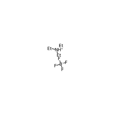 CC[NH+](CC)CC.F[B-](F)(F)F